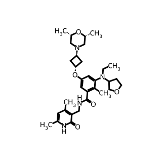 CCN(c1cc(O[C@H]2C[C@H](N3C[C@@H](C)O[C@@H](C)C3)C2)cc(C(=O)NCc2c(C)cc(C)[nH]c2=O)c1C)C1CCOC1